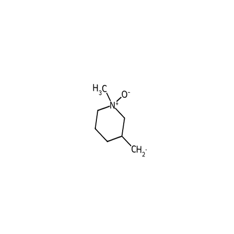 [CH2]C1CCC[N+](C)([O-])C1